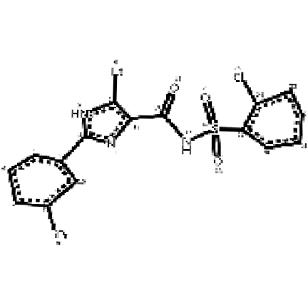 CCc1[nH]c(-c2cccc(C(C)C)c2)nc1C(=O)NS(=O)(=O)c1ccccc1Cl